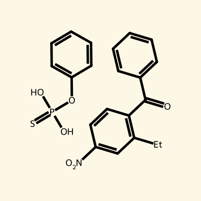 CCc1cc([N+](=O)[O-])ccc1C(=O)c1ccccc1.OP(O)(=S)Oc1ccccc1